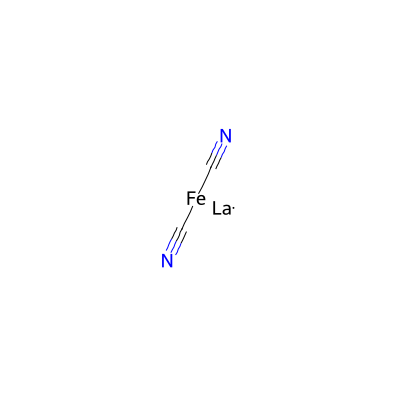 N#[C][Fe][C]#N.[La]